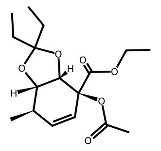 CCOC(=O)[C@]1(OC(C)=O)C=C[C@@H](C)[C@@H]2OC(CC)(CC)O[C@@H]21